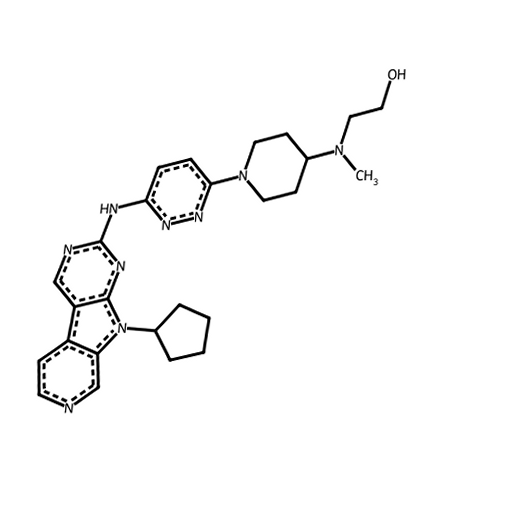 CN(CCO)C1CCN(c2ccc(Nc3ncc4c5ccncc5n(C5CCCC5)c4n3)nn2)CC1